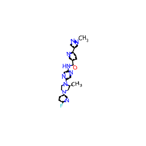 C[C@@H]1CN(c2ccc(F)nc2)CCN1c1cnc(NC(=O)c2ccc(-c3cnn(C)c3)nc2)cn1